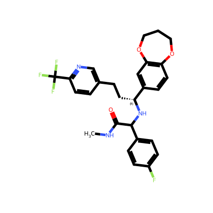 CNC(=O)C(N[C@H](CCc1ccc(C(F)(F)F)nc1)c1ccc2c(c1)OCCCO2)c1ccc(F)cc1